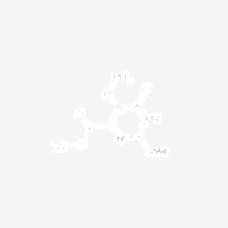 CSc1nc(C(=O)OS)c(OP)c(=O)[nH]1